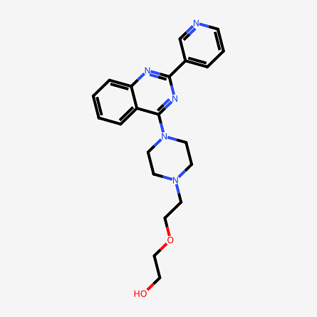 OCCOCCN1CCN(c2nc(-c3cccnc3)nc3ccccc23)CC1